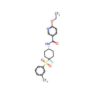 O=C(N[C@H]1CC[C@@](F)(S(=O)(=O)c2cccc(C(F)(F)F)c2)CC1)c1ccc(OCC(F)(F)F)nc1